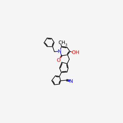 Cc1cc(O)c(Cc2ccc(-c3ccccc3C#N)cc2)c(=O)n1Cc1ccccc1